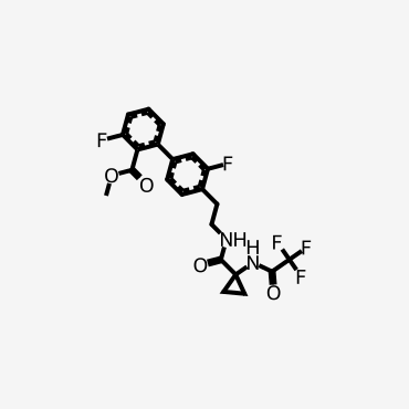 COC(=O)c1c(F)cccc1-c1ccc(CCNC(=O)C2(NC(=O)C(F)(F)F)CC2)c(F)c1